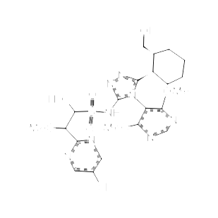 COc1ncnc(OC)c1-n1c(NS(=O)(=O)C(C)C(OC)c2ncc(Cl)cn2)nnc1[C@@H]1CCCC[C@@H]1CO